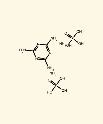 N.N.Nc1nc(N)nc(N)n1.O=P(O)(O)O.O=P(O)(O)O